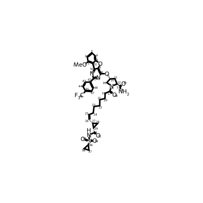 COc1cccc2oc3c(O[C@@H]4C[C@@H](C(N)=O)N(C(=O)CCCCCC/C=C\[C@@H]5C[C@@H]5C(=O)NS(=O)(=O)C5CC5)C4)nc(-c4ccc(C(F)(F)F)cc4)nc3c12